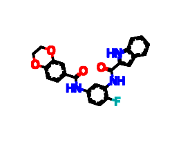 O=C(Nc1ccc(F)c(NC(=O)c2cc3ccccc3[nH]2)c1)c1ccc2c(c1)OCCO2